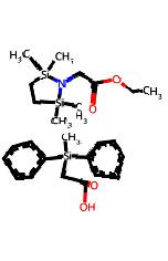 CCOC(=O)CN1[Si](C)(C)CC[Si]1(C)C.C[Si](CC(=O)O)(c1ccccc1)c1ccccc1